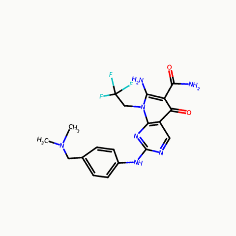 CN(C)Cc1ccc(Nc2ncc3c(=O)c(C(N)=O)c(N)n(CC(F)(F)F)c3n2)cc1